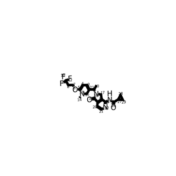 CC(C1=CC=C(OCCC(F)(F)F)N(C)C1)N1Cc2c(ccnc2NC(=O)C2CC2)C1=O